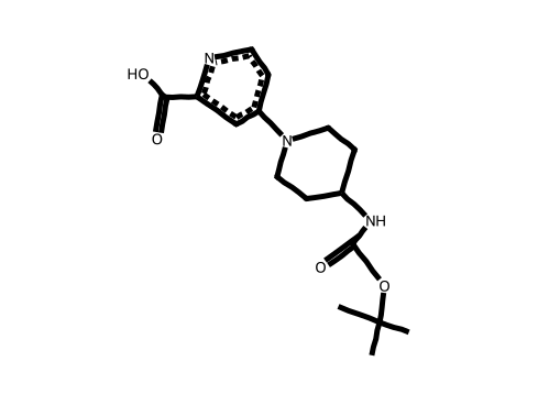 CC(C)(C)OC(=O)NC1CCN(c2ccnc(C(=O)O)c2)CC1